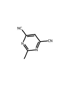 Cc1nc(C#N)cc(C#N)n1